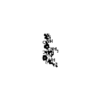 Cc1cc(NC(=O)c2ccc(-n3c(=O)n(-c4cccc(N(C)C(O)/C=C/CN(C)C)c4)c4ncnc(N)c43)cc2)sn1